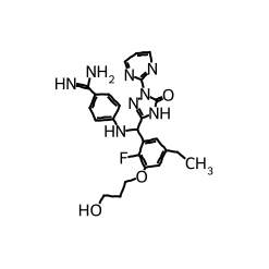 CCc1cc(OCCCO)c(F)c(C(Nc2ccc(C(=N)N)cc2)c2nn(-c3ncccn3)c(=O)[nH]2)c1